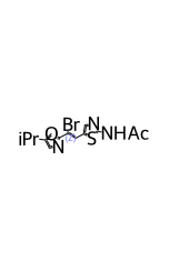 CC(=O)Nc1ncc(/C=C(\Br)c2ncc(C(C)C)o2)s1